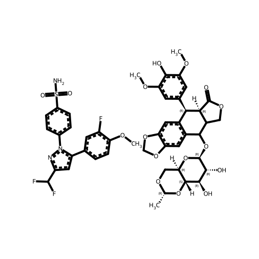 COc1cc([C@@H]2c3cc4c(cc3C(O[C@@H]3O[C@@H]5CO[C@@H](C)O[C@H]5[C@H](O)[C@H]3O)C3COC(=O)[C@@H]32)OCO4)cc(OC)c1O.COc1ccc(-c2cc(C(F)F)nn2-c2ccc(S(N)(=O)=O)cc2)cc1F